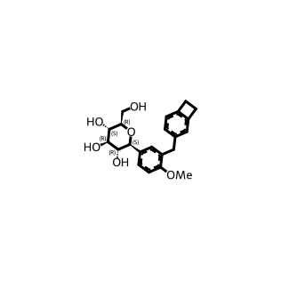 COc1ccc([C@@H]2O[C@H](CO)[C@@H](O)[C@H](O)[C@H]2O)cc1Cc1ccc2c(c1)CC2